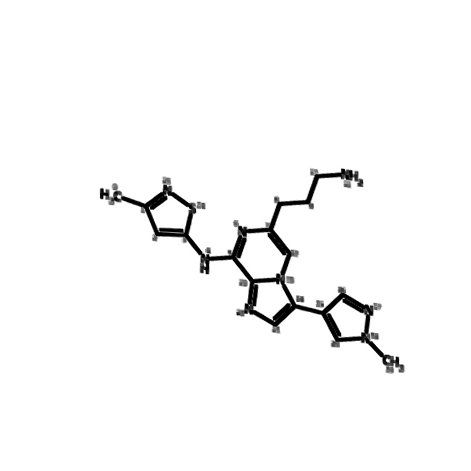 Cc1cc(Nc2nc(CCCN)cn3c(-c4cnn(C)c4)cnc23)sn1